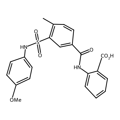 COc1ccc(NS(=O)(=O)c2cc(C(=O)Nc3ccccc3C(=O)O)ccc2C)cc1